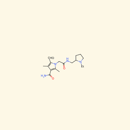 CCN1CCCC1CNC(=O)Cn1c(C)c(C(N)=O)c(C)c1C=O